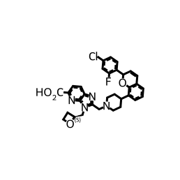 O=C(O)c1ccc2nc(CN3CCC(c4cccc5c4OC(c4ccc(Cl)cc4F)C=C5)CC3)n(C[C@@H]3CCO3)c2n1